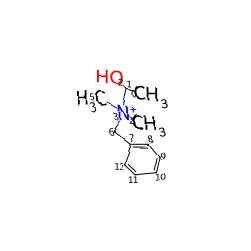 CC(O)[N+](C)(C)Cc1ccccc1